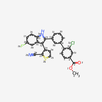 COC(=O)c1ccc(-c2cccc(-c3[nH]c4ccc(F)cc4c3-c3ccsc3C#N)c2)c(Cl)c1